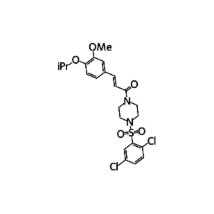 COc1cc(/C=C/C(=O)N2CCN(S(=O)(=O)c3cc(Cl)ccc3Cl)CC2)ccc1OC(C)C